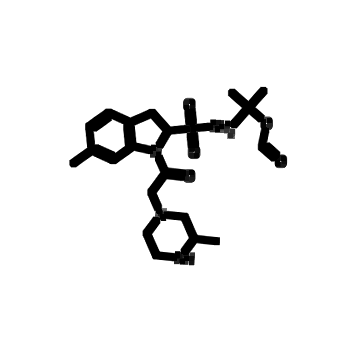 CC(C)(C)OC=O.Cc1ccc2c(c1)N(C(=O)CN1CCNC(C)C1)C(S(N)(=O)=O)C2